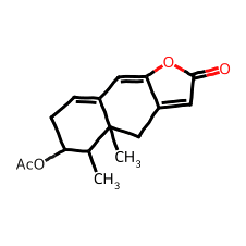 CC(=O)OC1CC=C2C=C3OC(=O)C=C3CC2(C)C1C